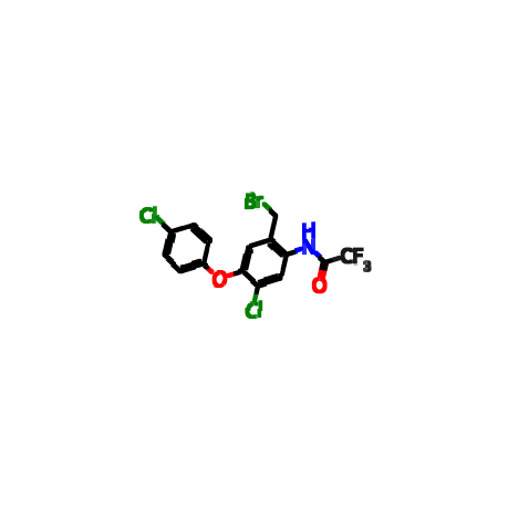 O=C(Nc1cc(Cl)c(Oc2ccc(Cl)cc2)cc1CBr)C(F)(F)F